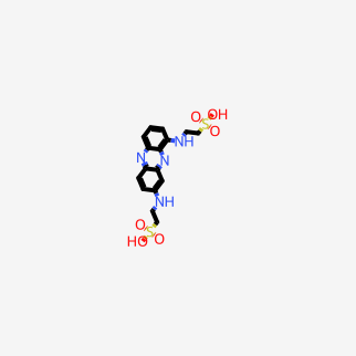 O=S(=O)(O)CCNc1ccc2nc3cccc(NCCS(=O)(=O)O)c3nc2c1